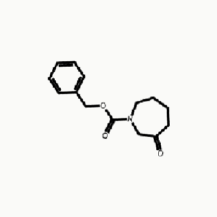 O=C1CCCCN(C(=O)OCc2ccccc2)C1